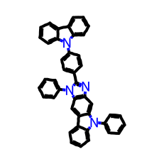 c1ccc(-n2c(-c3ccc(-n4c5ccccc5c5ccccc54)cc3)nc3cc4c(cc32)c2ccccc2n4-c2ccccc2)cc1